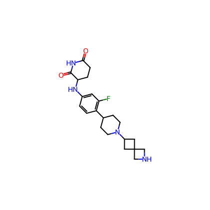 O=C1CCC(Nc2ccc(C3CCN(C4CC5(CNC5)C4)CC3)c(F)c2)C(=O)N1